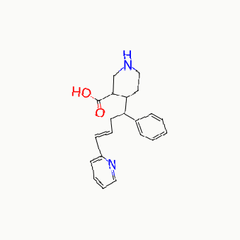 O=C(O)C1CNCCC1C(CC=Cc1ccccn1)c1ccccc1